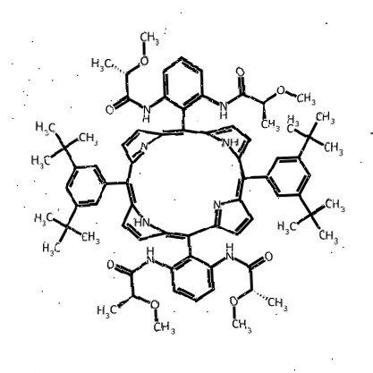 CO[C@@H](C)C(=O)Nc1cccc(NC(=O)[C@H](C)OC)c1-c1c2nc(c(-c3cc(C(C)(C)C)cc(C(C)(C)C)c3)c3ccc([nH]3)c(-c3c(NC(=O)[C@H](C)OC)cccc3NC(=O)[C@H](C)OC)c3nc(c(-c4cc(C(C)(C)C)cc(C(C)(C)C)c4)c4ccc1[nH]4)C=C3)C=C2